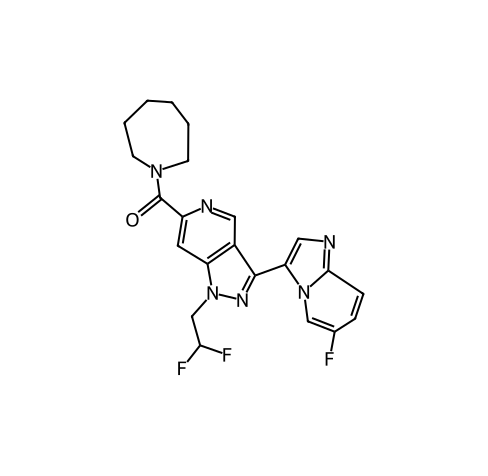 O=C(c1cc2c(cn1)c(-c1cnc3ccc(F)cn13)nn2CC(F)F)N1CCCCCC1